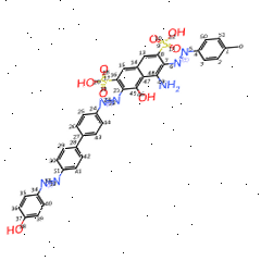 Cc1ccc(/N=N/c2c(S(=O)(=O)O)cc3cc(S(=O)(=O)O)c(/N=N/c4ccc(-c5ccc(/N=N/c6ccc(O)cc6)cc5)cc4)c(O)c3c2N)cc1